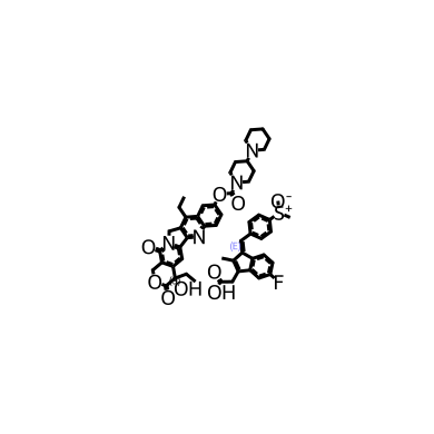 CC1=C(CC(=O)O)c2cc(F)ccc2/C1=C\c1ccc([S+](C)[O-])cc1.CCc1c2c(nc3ccc(OC(=O)N4CCC(N5CCCCC5)CC4)cc13)-c1cc3c(c(=O)n1C2)COC(=O)[C@]3(O)CC